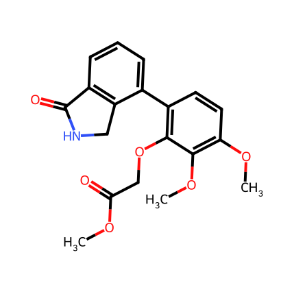 COC(=O)COc1c(-c2cccc3c2CNC3=O)ccc(OC)c1OC